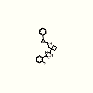 Fc1ccccc1-c1nc(C2(CNC3CC3c3ccccc3)CCC2)no1